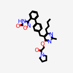 CCCCc1nc(C)nc(OCC(=O)N2CCCC2)c1Cc1ccc(-c2ccccc2-c2noc(=O)[nH]2)cc1